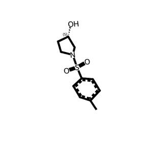 Cc1ccc(S(=O)(=O)N2CC[C@H](O)C2)cc1